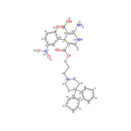 CC1=C(C(=O)OCCCN2CCC(c3ccccc3)(c3ccccc3)CC2)C(c2cccc([N+](=O)[O-])c2)C(C(=O)O)=C(N)N1